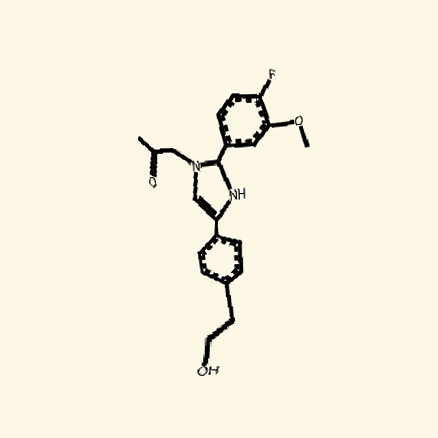 COc1cc(C2NC(c3ccc(CCO)cc3)=CN2CC(C)=O)ccc1F